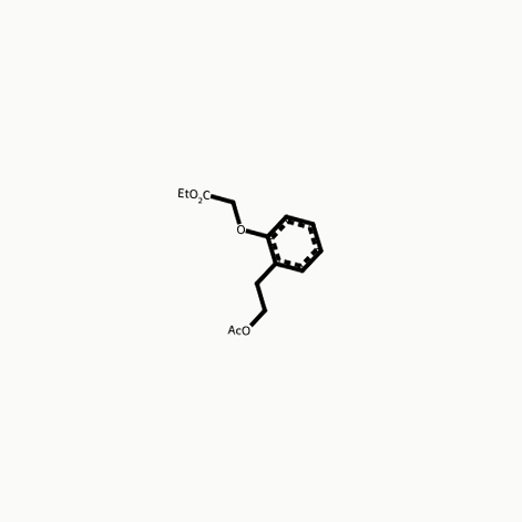 CCOC(=O)COc1ccccc1CCOC(C)=O